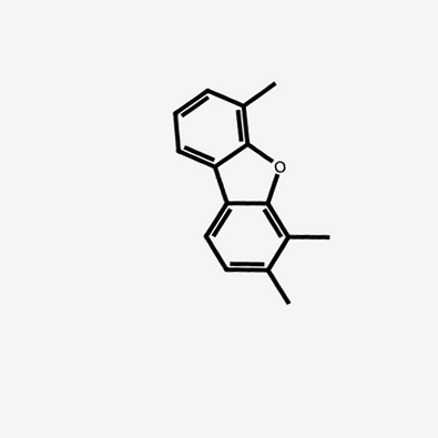 Cc1ccc2c(oc3c(C)cccc32)c1C